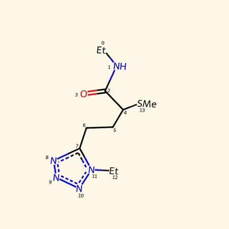 CCNC(=O)C(CCc1nnnn1CC)SC